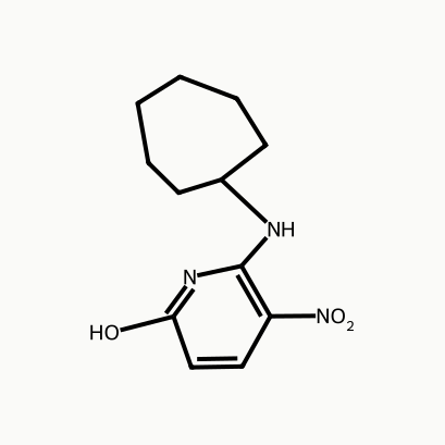 O=[N+]([O-])c1ccc(O)nc1NC1CCCCCC1